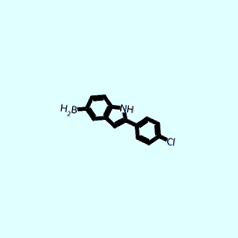 Bc1ccc2[nH]c(-c3ccc(Cl)cc3)cc2c1